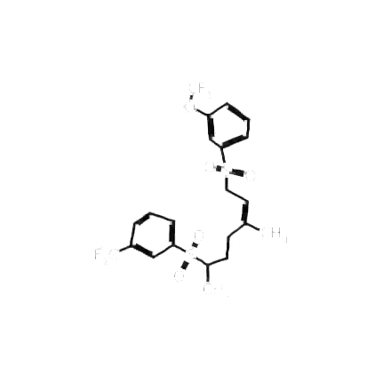 CC(=CCS(=O)(=O)c1cccc(OC(F)(F)F)c1)CCC(C)S(=O)(=O)c1cccc(C(F)(F)F)c1